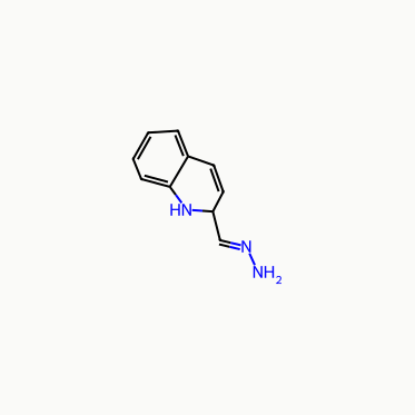 N/N=C/C1C=Cc2ccccc2N1